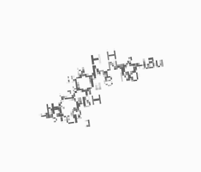 Cc1c2cn-2c1/C=C1\C(=O)Nc2cc(NC(=O)Nc3cc(C(C)(C)C)on3)ccc21